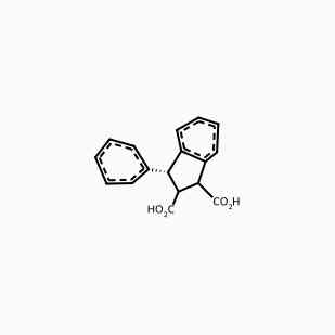 O=C(O)C1c2ccccc2[C@@H](c2ccccc2)C1C(=O)O